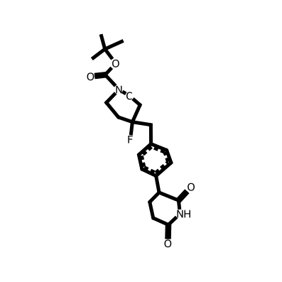 CC(C)(C)OC(=O)N1CCC(F)(Cc2ccc(C3CCC(=O)NC3=O)cc2)CC1